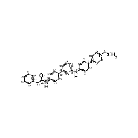 CCN1CCN(c2ccc(Nc3nccc(-c4ccc(NC(=O)Cc5ccccc5)cc4)n3)cc2)CC1